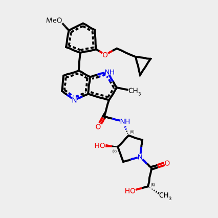 COc1ccc(OCC2CC2)c(-c2ccnc3c(C(=O)N[C@@H]4CN(C(=O)[C@H](C)O)C[C@H]4O)c(C)[nH]c23)c1